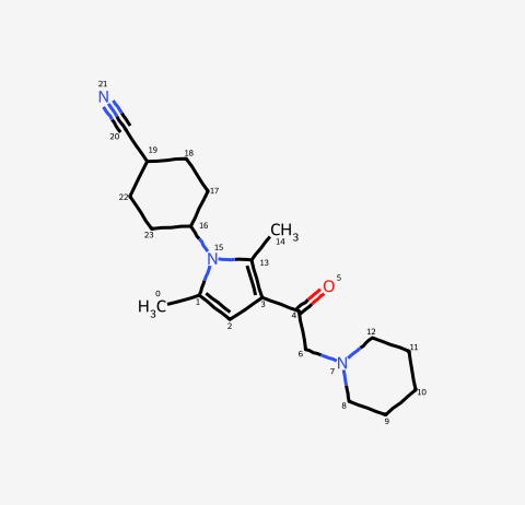 Cc1cc(C(=O)CN2CCCCC2)c(C)n1C1CCC(C#N)CC1